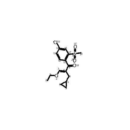 CCOC=C(CC1CC1)C(=O)c1ccc(Cl)cc1S(C)(=O)=O